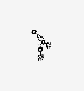 Cc1nnc(-c2ccc(Oc3cc(-c4cncnc4)ccc3CN3C[C@H](c4ccccc4)CC3=O)cc2)s1